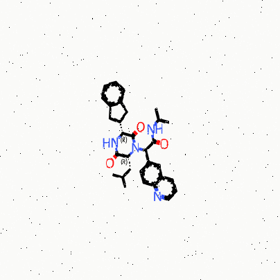 CC(C)C[C@@H]1C(=O)N[C@H](C2Cc3ccccc3C2)C(=O)N1C(C(=O)NC(C)C)c1ccc2ncccc2c1